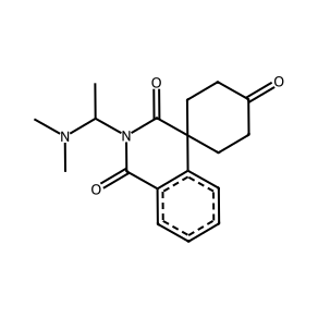 CC(N(C)C)N1C(=O)c2ccccc2C2(CCC(=O)CC2)C1=O